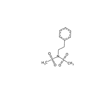 CS(=O)(=O)N(CCc1ccccc1)S(C)(=O)=O